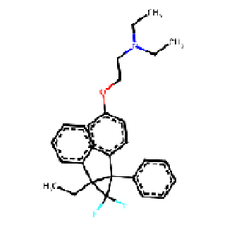 CCN(CC)CCOc1ccc(C2(c3ccccc3)C(F)(F)C2(CC)c2ccccc2)cc1